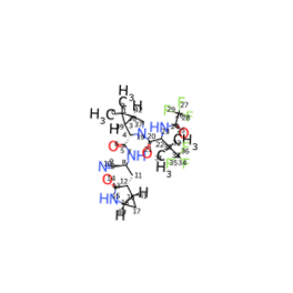 CC1(C)[C@@H]2[C@@H](C(=O)N[C@H](C#N)C[C@H]3C(=O)N[C@H]4C[C@H]43)N(C(=O)[C@@H](NC(=O)C(F)(F)F)C(C)(C)C(F)(F)F)C[C@@H]21